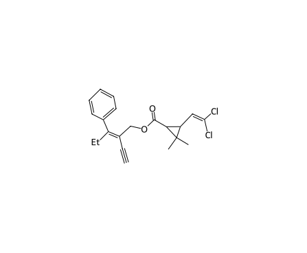 C#CC(COC(=O)C1C(C=C(Cl)Cl)C1(C)C)=C(CC)c1ccccc1